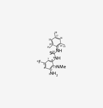 CNc1c(N)cc(F)cc1NC(=S)Nc1c(C)cc(C)cc1C